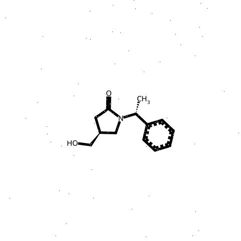 C[C@H](c1ccccc1)N1C[C@@H](CO)CC1=O